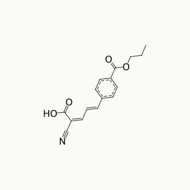 CCCOC(=O)c1ccc(C=CC=C(C#N)C(=O)O)cc1